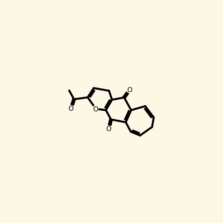 CC(=O)C1=CCC2=C(O1)C(=O)C1=C(C=CCC=C1)C2=O